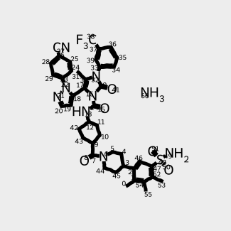 Cc1c(C2CCN(C(=O)C3CCC(NC(=O)n4c(-c5ccnn5-c5ccc(C#N)cc5)c(C)n(-c5cccc(C(F)(F)F)c5)c4=O)CC3)CC2)cc(S(N)(=O)=O)c(C)c1C.N